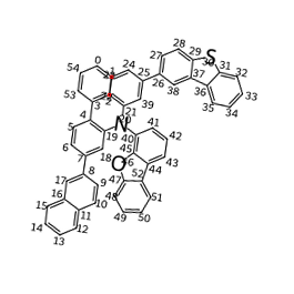 c1ccc(-c2ccc(-c3ccc4ccccc4c3)cc2N(c2cccc(-c3ccc4sc5ccccc5c4c3)c2)c2cccc3c2oc2ccccc23)cc1